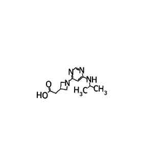 CC(C)Nc1cc(N2CC(CC(=O)O)C2)ncn1